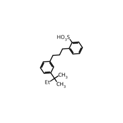 CCC(C)(C)c1cccc(CCCc2ccccc2S(=O)(=O)O)c1